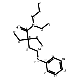 CC[C]N(CC)C(=O)C(CC)(CC)CCSc1ccccc1